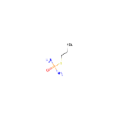 CCCCCCSP(N)(N)=O